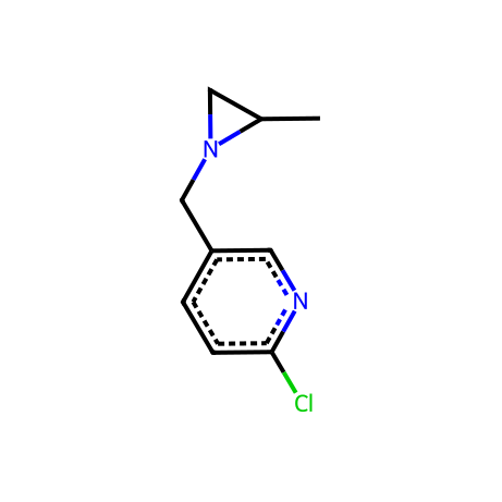 CC1CN1Cc1ccc(Cl)nc1